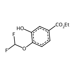 CCOC(=O)c1ccc(OC(F)F)c(O)c1